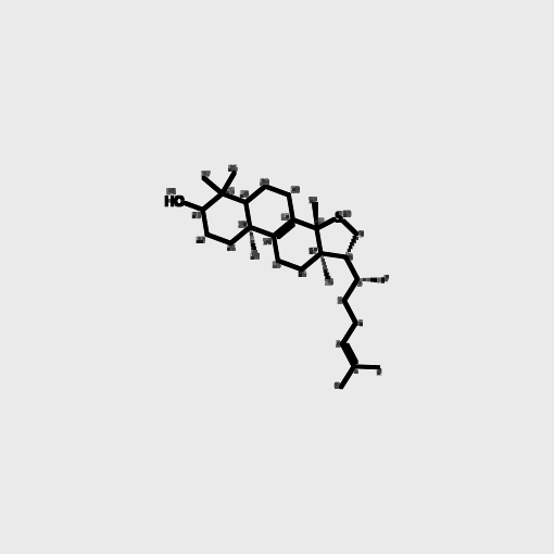 CC(C)=CCC[C@@H](C)[C@H]1CS[C@@]2(C)C3=C(CC[C@]12C)[C@@]1(C)CCC(O)C(C)(C)C1CC3